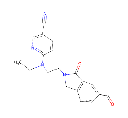 CCN(CCN1Cc2ccc(C=O)cc2C1=O)c1ccc(C#N)cn1